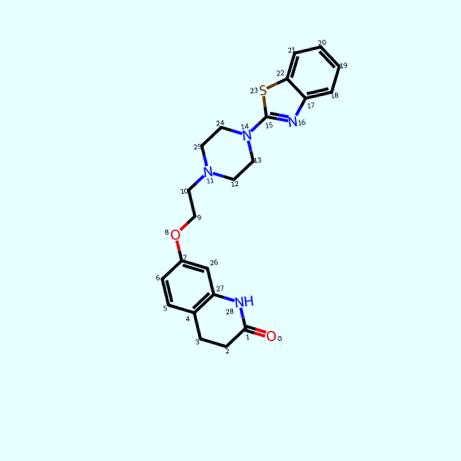 O=C1CCc2ccc(OCCN3CCN(c4nc5ccccc5s4)CC3)cc2N1